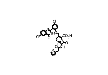 O=C(Cc1cccs1)N[C@@H]1C(=O)N2C(C(=O)O)=C(COc3ccc(Cl)cc3-c3nc4ccc(Cl)cc4c(=O)[nH]3)CS[C@@H]12